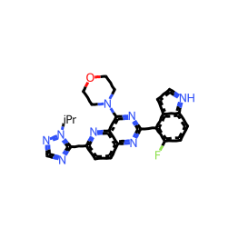 CC(C)n1ncnc1-c1ccc2nc(-c3c(F)ccc4[nH]ccc34)nc(N3CCOCC3)c2n1